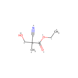 CCOC(=O)C(C)(C#N)CO